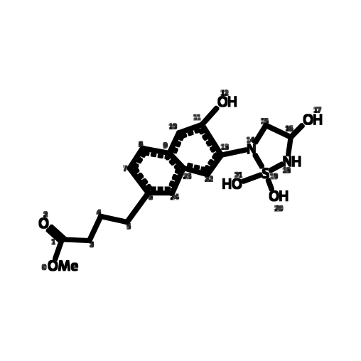 COC(=O)CCCc1ccc2cc(O)c(N3CC(O)NS3(O)O)cc2c1